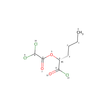 CCCC[C@@H](OC(=O)C(Cl)Cl)C(=O)Cl